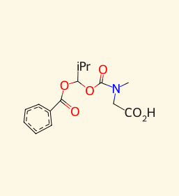 CC(C)C(OC(=O)c1ccccc1)OC(=O)N(C)CC(=O)O